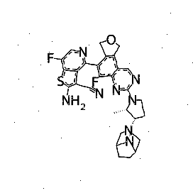 C[C@H]1[C@@H](N2CC3CCC(C2)N3C)CCN1c1ncc2c3c(c(-c4ncc(F)c5sc(N)c(C#N)c45)c(F)c2n1)COC3